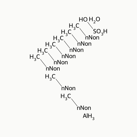 CCCCCCCCCC.CCCCCCCCCC.CCCCCCCCCC.CCCCCCCCCC.CCCCCCCCCC.CCCCCCCCCC.CCCCCCCCCC.CCCCCCCCCC.O.O=S(=O)(O)O.[AlH3]